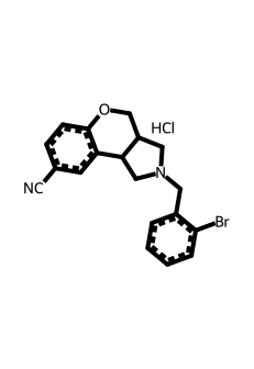 Cl.N#Cc1ccc2c(c1)C1CN(Cc3ccccc3Br)CC1CO2